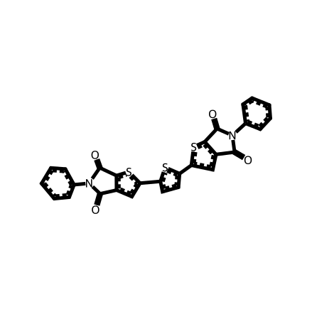 O=C1c2cc(-c3ccc(-c4cc5c(s4)C(=O)N(c4ccccc4)C5=O)s3)sc2C(=O)N1c1ccccc1